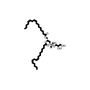 CCCC/C=C\C/C=C\CCCCCCCC(=O)OC[C@H](COP(=O)(O)OC[C@@H](O)CO)OC(=O)CCCCCCC/C=C\C/C=C\CCCC